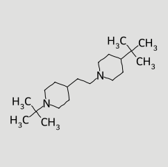 CC(C)(C)C1CCN(CCC2CCN(C(C)(C)C)CC2)CC1